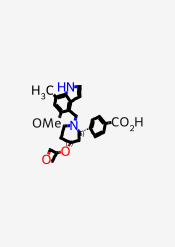 COc1cc(C)c2[nH]ccc2c1CN1CC[C@H](OC2COC2)C[C@H]1c1ccc(C(=O)O)cc1